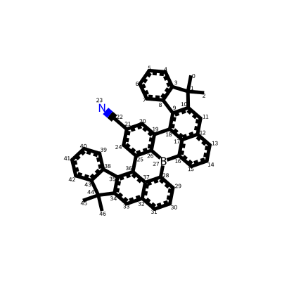 CC1(C)c2ccccc2-c2c1cc1cccc3c1c2-c1cc(C#N)cc2c1B3c1cccc3cc4c(c-2c13)-c1ccccc1C4(C)C